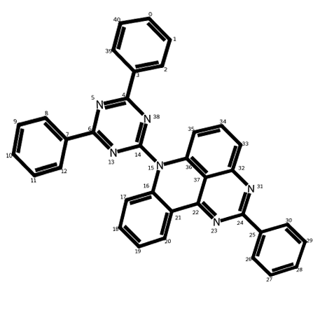 c1ccc(-c2nc(-c3ccccc3)nc(N3c4ccccc4-c4nc(-c5ccccc5)nc5cccc3c45)n2)cc1